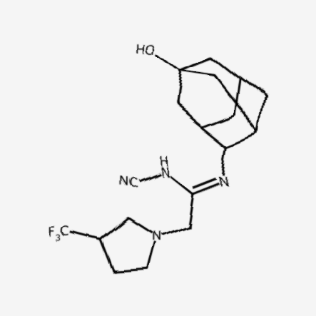 N#CNC(CN1CCC(C(F)(F)F)C1)=NC1C2CC3CC1CC(O)(C3)C2